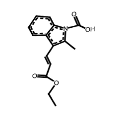 CCOC(=O)C=Cc1c(C)n(C(=O)O)c2ccccc12